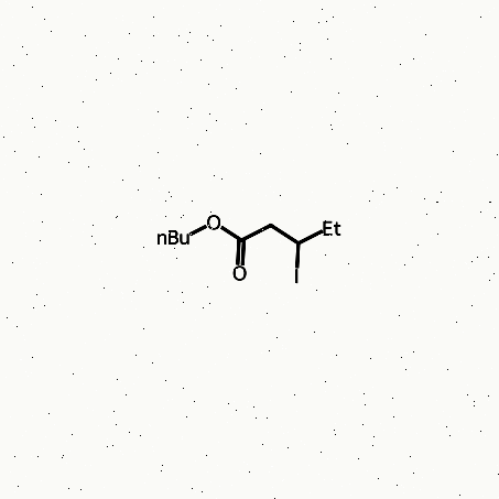 CCCCOC(=O)CC(I)CC